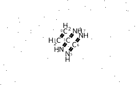 C=C.N=C=N.N=C=N